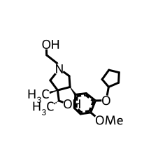 COc1ccc([C@@H]2CN(CCO)C[C@@]2(C)[C@@H](C)O)cc1OC1CCCC1